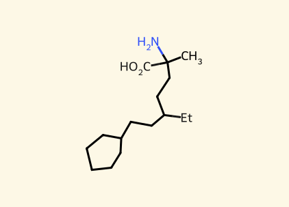 CCC(CCC1CCCCC1)CCC(C)(N)C(=O)O